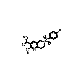 COC(=O)c1cc2c(nc1OC)CCN(S(=O)(=O)c1ccc(F)cc1)C2